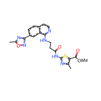 COC(=O)c1sc(NC(=O)CCNc2nccc3ccc(-c4noc(C)n4)cc23)nc1C